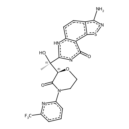 C[C@](O)(c1nc(=O)c2c(ccc3c(N)nsc32)[nH]1)[C@H]1OCCN(c2cccc(C(F)(F)F)n2)C1=O